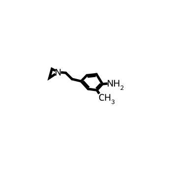 Cc1cc(CCN2CC2)ccc1N